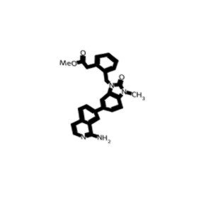 COC(=O)Cc1ccccc1Cn1c(=O)n(C)c2ccc(-c3ccc4ccnc(N)c4c3)cc21